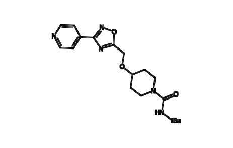 CC(C)(C)NC(=O)N1CCC(OCc2nc(-c3ccncc3)no2)CC1